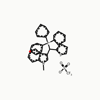 Cn1cc(C(c2cccs2)[P+](c2ccccc2)(c2ccccc2)c2ccccc2)c2ccccc21.O=S(=O)([O-])C(F)(F)F